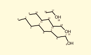 CCCCCCCCO.CCCCCCO.CCO